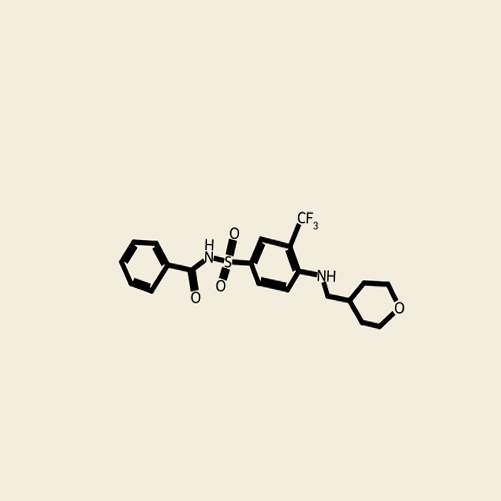 O=C(NS(=O)(=O)c1ccc(NCC2CCOCC2)c(C(F)(F)F)c1)c1ccccc1